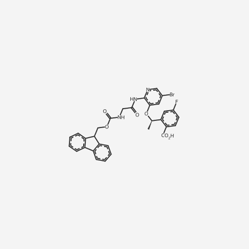 C[C@@H](Oc1cc(Br)cnc1NC(=O)CNC(=O)OCC1c2ccccc2-c2ccccc21)c1cc(F)ccc1C(=O)O